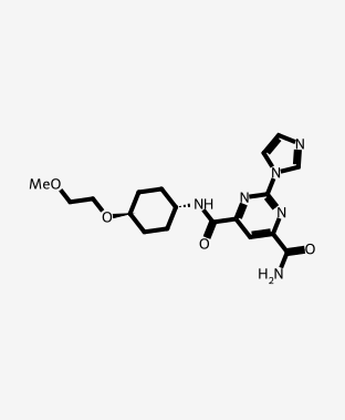 COCCO[C@H]1CC[C@H](NC(=O)c2cc(C(N)=O)nc(-n3ccnc3)n2)CC1